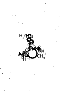 CC[C@@H]1C[C@H](C)CC/C=C\[C@@H]2C[C@@]2(C(=O)NS(=O)(=O)C2CC2)NC(=O)[C@@H]2C[C@@H](Oc3nccc4c5c(ccc34)N(C)CCO5)CN2C(=O)[C@H]1NC(=O)O